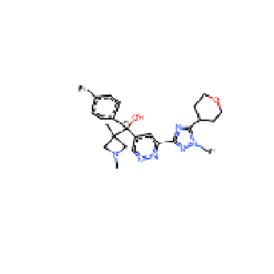 CC(C)c1ccc([C@](O)(c2cnnc(-c3nc(C4CCOCC4)n(C(C)C)n3)c2)C2(C)CN(C)C2)cc1